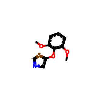 COc1cccc(OC)c1Oc1cn[c]s1